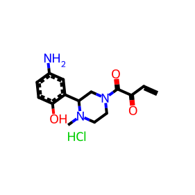 C=CC(=O)C(=O)N1CCN(C)C(c2cc(N)ccc2O)C1.Cl